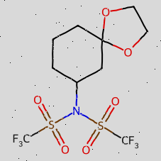 O=S(=O)(N(C1CCCC2(C1)OCCO2)S(=O)(=O)C(F)(F)F)C(F)(F)F